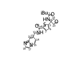 CC[C@H](C)C(=O)NC1(c2ccc(C(=O)NCc3ccn4ccnc4c3)s2)COC1